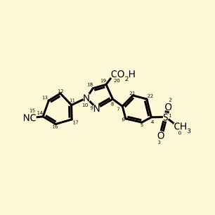 CS(=O)(=O)c1ccc(-c2nn(-c3ccc(C#N)cc3)cc2C(=O)O)cc1